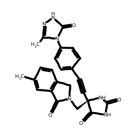 Cc1ccc2c(c1)C(=O)N(C[C@@]1(C#Cc3ccc(-n4c(C)n[nH]c4=O)cc3)NC(=O)NC1=O)C2